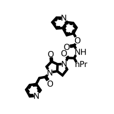 CCCC(NC(=O)Oc1ccc2ncccc2c1)C(=O)N1CCC2C1C(=O)CN2C(=O)Cc1cccnc1